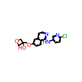 OC1(COc2ccc3c(Nc4ccc(Cl)nc4)nccc3c2)COC1